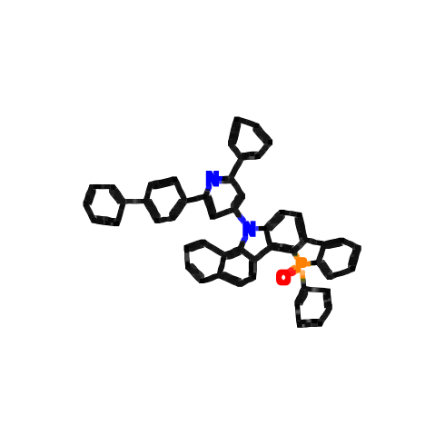 O=P1(c2ccccc2)c2ccccc2-c2ccc3c(c21)c1ccc2ccccc2c1n3-c1cc(-c2ccccc2)nc(-c2ccc(-c3ccccc3)cc2)c1